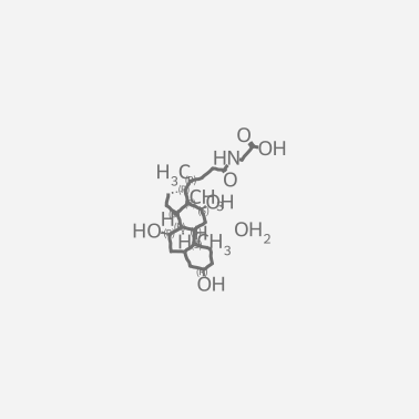 C[C@H](CCC(=O)NCC(=O)O)[C@H]1CC[C@H]2[C@@H]3[C@H](O)CC4C[C@H](O)CC[C@]4(C)[C@H]3C[C@H](O)[C@]12C.O